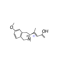 C=C(O)/C=C(\C)[C@@H]1Cc2cc(OC)ccc2CN1C